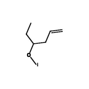 [C]OC(CC)CC=C